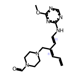 C=C/C=C(\C=C\Nc1ncnc(OC)n1)CN1CCN(C=O)CC1